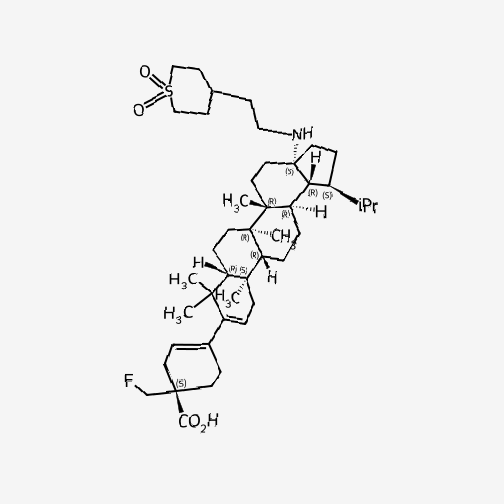 CC(C)[C@@H]1CC[C@]2(NCCC3CCS(=O)(=O)CC3)CC[C@]3(C)[C@H](CC[C@@H]4[C@@]5(C)CC=C(C6=CC[C@](CF)(C(=O)O)CC6)C(C)(C)[C@@H]5CC[C@]43C)[C@@H]12